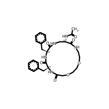 CC(=O)N[C@H]1CNC(=O)[C@H](Cc2ccccc2)NC(=O)[C@H](Cc2ccccc2)NC(=O)COCCOCCNC1=O